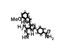 COc1cccc2cc(-c3nc([C@H]4CC[C@H](C(N)=O)CC4)[nH]c3/C(N)=N\C=N)[nH]c12